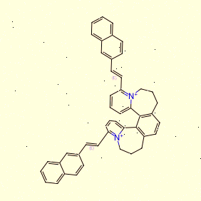 C(=C\c1cccc2[n+]1CCCc1ccc3c(c1-2)-c1cccc(/C=C/c2ccc4ccccc4c2)[n+]1CCC3)/c1ccc2ccccc2c1